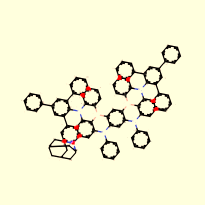 CC(C)(C)c1cc2c3c(c1)N(c1c(-c4ccccc4)cc(-c4ccccc4)cc1-c1ccccc1)c1ccccc1B3c1cc3c(cc1N2c1ccccc1)N(c1ccccc1)c1cc(N2C4CC5CC(C4)CC2C5)cc2c1B3c1ccccc1N2c1c(-c2ccccc2)cc(-c2ccccc2)cc1-c1ccccc1